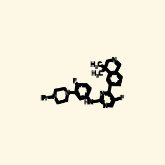 CC(C)N1CCN(c2cc(Nc3ncc(F)c(-c4ccc5c(c4)C(C)(C)CN=C5)n3)ccc2F)CC1